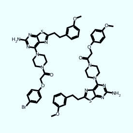 COc1ccc(OCC(=O)N2CCN(c3nc(N)nc4sc(CCc5cccc(OC)c5)nc34)CC2)cc1.COc1cccc(CCc2nc3c(N4CCN(C(=O)COc5ccc(Br)cc5)CC4)nc(N)nc3s2)c1